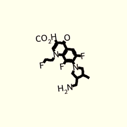 CC1CN(c2c(F)cc3c(=O)c(C(=O)O)cn(CCF)c3c2F)CC1CN